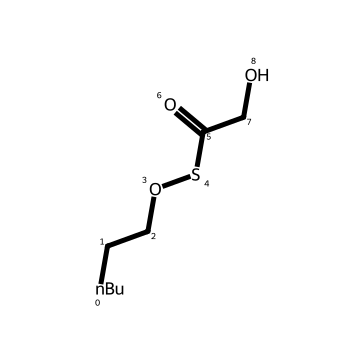 CCCCCCOSC(=O)CO